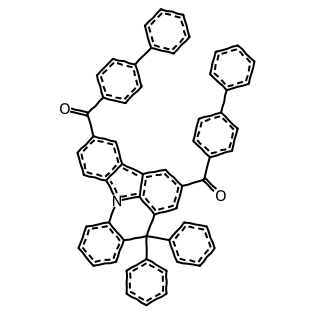 O=C(c1ccc(-c2ccccc2)cc1)c1ccc2c(c1)c1cc(C(=O)c3ccc(-c4ccccc4)cc3)cc3c1n2-c1ccccc1C3(c1ccccc1)c1ccccc1